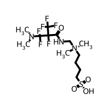 CN(C)C(F)(F)C(F)(C(=O)NC[N+](C)(C)CCCCS(=O)(=O)O)C(F)(F)F